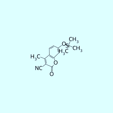 Cc1c(C#N)c(=O)oc2cc(O[Si](C)(C)C)ccc12